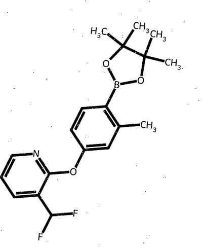 Cc1cc(Oc2ncccc2C(F)F)ccc1B1OC(C)(C)C(C)(C)O1